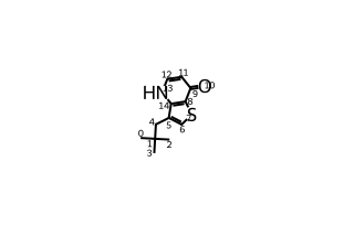 CC(C)(C)Cc1csc2c(=O)cc[nH]c12